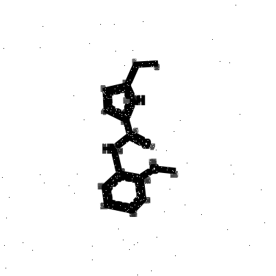 CCc1ccc(C(=O)Nc2ccccc2OC)[nH]1